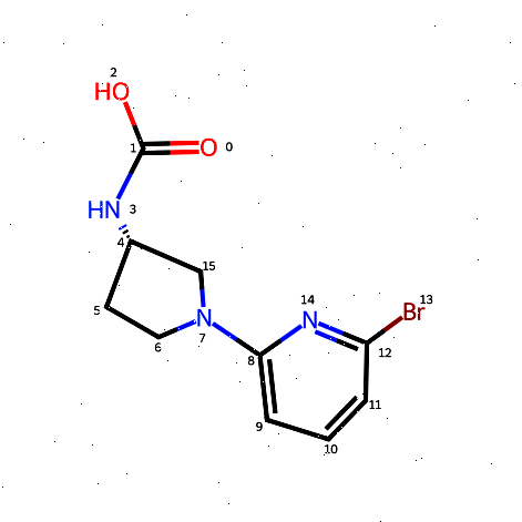 O=C(O)N[C@H]1CCN(c2cccc(Br)n2)C1